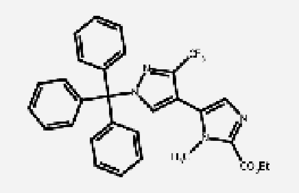 CCOC(=O)c1ncc(-c2cn(C(c3ccccc3)(c3ccccc3)c3ccccc3)nc2C(F)(F)F)n1C